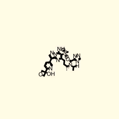 CC(C)N(C(=O)c1nnc[nH]1)[C@H](C)CCc1nc2c(-c3ccc(C4(O)COC4)nc3)cnn2c(N)c1S(C)(=O)=O